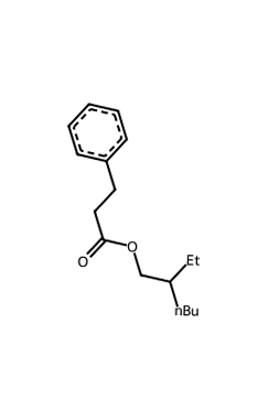 CCCCC(CC)COC(=O)CCc1ccccc1